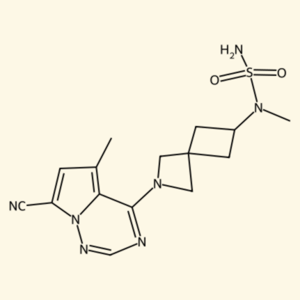 Cc1cc(C#N)n2ncnc(N3CC4(CC(N(C)S(N)(=O)=O)C4)C3)c12